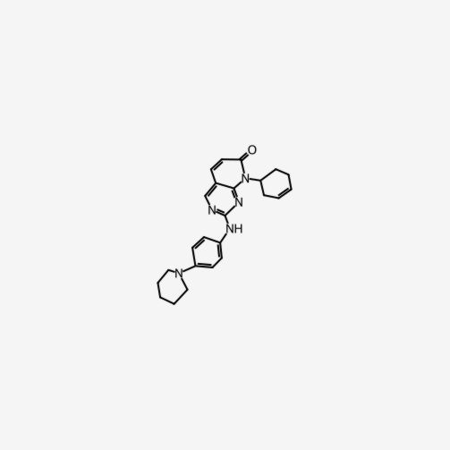 O=c1ccc2cnc(Nc3ccc(N4CCCCC4)cc3)nc2n1C1CC=CCC1